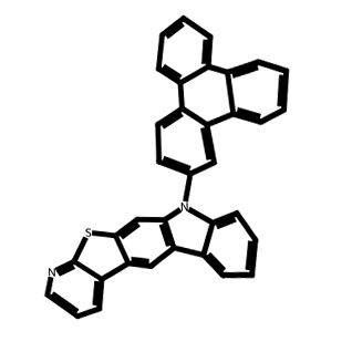 c1cnc2sc3cc4c(cc3c2c1)c1ccccc1n4-c1ccc2c3ccccc3c3ccccc3c2c1